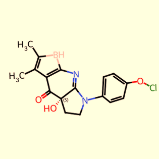 CC1=C(C)C2=C(B1)N=C1N(c3ccc(OCl)cc3)CC[C@@]1(O)C2=O